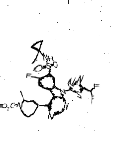 C[C@H]1CC(c2ncnc3c2c2cc(F)c(S(=O)(=O)NC4(C)CC4)cc2n3-c2nnc(C(F)F)s2)CCN1C(=O)O